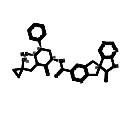 C[C@@H]1[C@H](c2ccccc2)C[C@H](NC(=O)c2cnc3c(c2)C[C@@]2(C3)C(=O)Nc3ncncc32)C(=O)N1CC1(C(F)(F)F)CC1